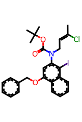 CC(Cl)=CCN(C(=O)OC(C)(C)C)c1cc(OCc2ccccc2)c2ccccc2c1I